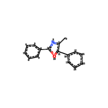 Cc1nc(-c2cc[c]cc2)oc1-c1cc[c]cc1